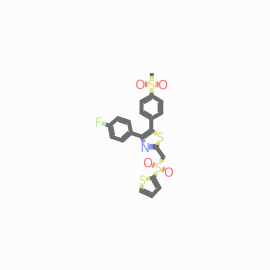 CS(=O)(=O)c1ccc(-c2sc(CS(=O)(=O)c3cccs3)nc2-c2ccc(F)cc2)cc1